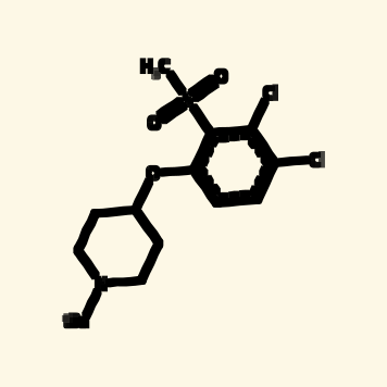 CC(C)(C)N1CCC(Oc2ccc(Cl)c(Cl)c2S(C)(=O)=O)CC1